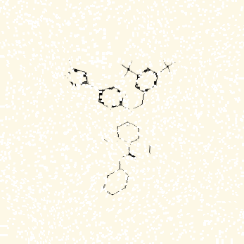 CC[C@@H]1C[C@H](N(Cc2cc(C(F)(F)F)cc(C(F)(F)F)c2)c2ncc(-c3cnn(C)c3)cn2)C[C@H](CC)N1C(=O)OC1CCCCC1